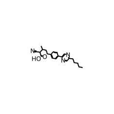 CCCCCc1cnc(-c2ccc(CCC(C)C(C#N)C(=O)O)cc2)cn1